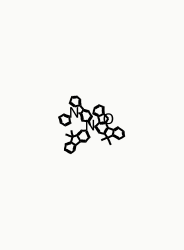 CC1(C)c2ccccc2-c2ccc(N(c3ccc4c5ccccc5n(-c5ccccc5)c4c3)c3cc4c(c5oc6ccccc6c35)-c3ccccc3C4(C)C)cc21